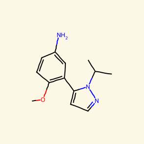 COc1ccc(N)cc1-c1ccnn1C(C)C